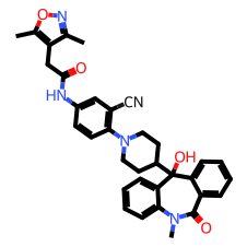 Cc1noc(C)c1CC(=O)Nc1ccc(N2CCC(C3(O)c4ccccc4C(=O)N(C)c4ccccc43)CC2)c(C#N)c1